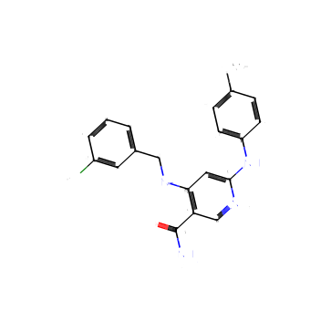 COc1ccc(Nc2cc(NCc3cccc(F)c3)c(C(N)=O)cn2)cc1